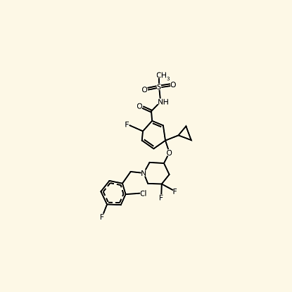 CS(=O)(=O)NC(=O)C1=CC(OC2CN(Cc3ccc(F)cc3Cl)CC(F)(F)C2)(C2CC2)C=CC1F